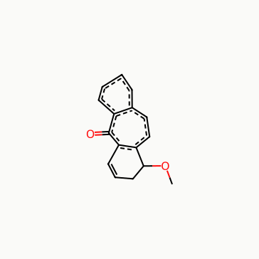 COC1CC=Cc2c1ccc1ccccc1c2=O